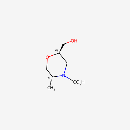 C[C@@H]1CO[C@@H](CO)CN1C(=O)O